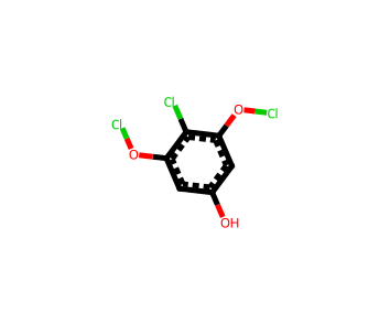 Oc1cc(OCl)c(Cl)c(OCl)c1